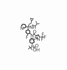 CC(C)CCNC(CCC1CC1)(c1cccnc1)c1ccc(F)c(NC(=O)c2cc(C(F)(F)F)nn2-c2cccc(N(C(=O)O)C(C)(C)C)c2)c1